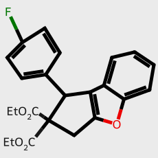 CCOC(=O)C1(C(=O)OCC)Cc2oc3ccccc3c2C1c1ccc(F)cc1